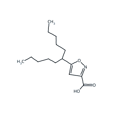 CCCCCC(CCCCC)c1cc(C(=O)O)no1